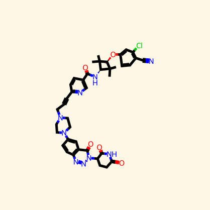 CC1(C)[C@H](NC(=O)c2ccc(C#CCN3CCN(c4ccc5nnn(C6CCC(=O)NC6=O)c(=O)c5c4)CC3)nc2)C(C)(C)[C@H]1Oc1ccc(C#N)c(Cl)c1